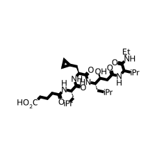 CCNC(=O)C(NC(=O)C[C@H](O)[C@H](CC(C)C)NC(=O)[C@H](CC1CC1)NC(=O)[C@H](CC(C)C)NC(=O)CCCC(=O)O)C(C)C